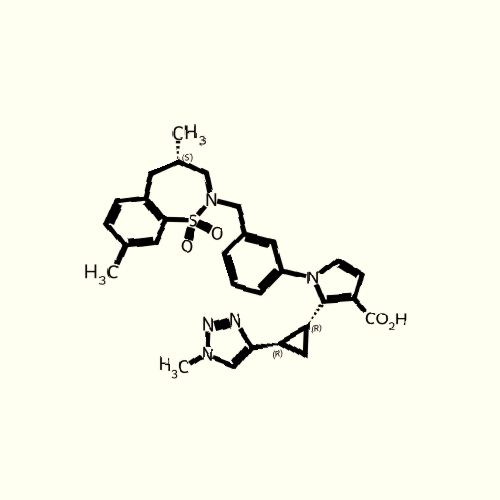 Cc1ccc2c(c1)S(=O)(=O)N(Cc1cccc(-n3ccc(C(=O)O)c3[C@@H]3C[C@H]3c3cn(C)nn3)c1)C[C@@H](C)C2